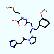 COc1cccc(CN(CC(=O)N[C@@H](CCSC)C(=O)O)C[C@@H]2CCCN2C(=O)Cc2c[nH]cn2)c1